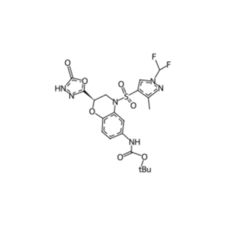 Cc1nn(C(F)F)cc1S(=O)(=O)N1C[C@H](c2n[nH]c(=O)o2)Oc2ccc(NC(=O)OC(C)(C)C)cc21